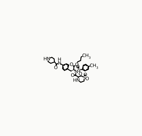 CCCCOC(=O)[C@H](Cc1ccc(NC(=O)C2CCNCC2)cc1)N(C(=O)C1CS(=O)(=O)CCN1)S(=O)(=O)c1ccc(C)cc1